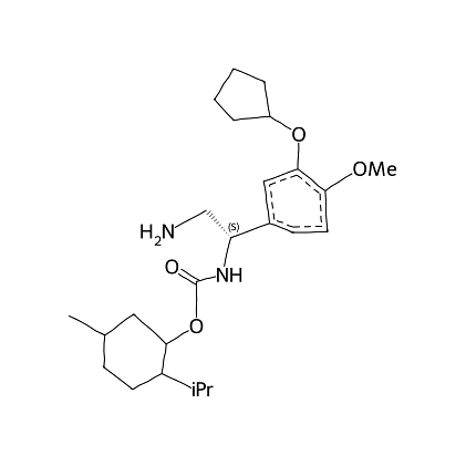 COc1ccc([C@@H](CN)NC(=O)OC2CC(C)CCC2C(C)C)cc1OC1CCCC1